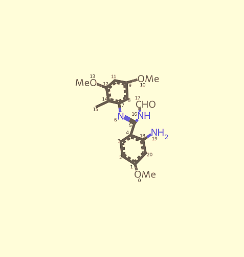 COc1ccc(/C(=N/c2cc(OC)cc(OC)c2C)NC=O)c(N)c1